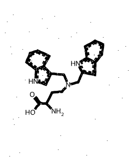 NC(CCN(Cc1cc2ccccc2[nH]1)Cc1c[nH]c2ccccc12)C(=O)O